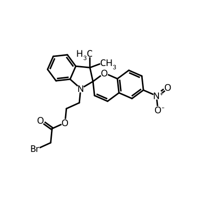 CC1(C)c2ccccc2N(CCOC(=O)CBr)C12C=Cc1cc([N+](=O)[O-])ccc1O2